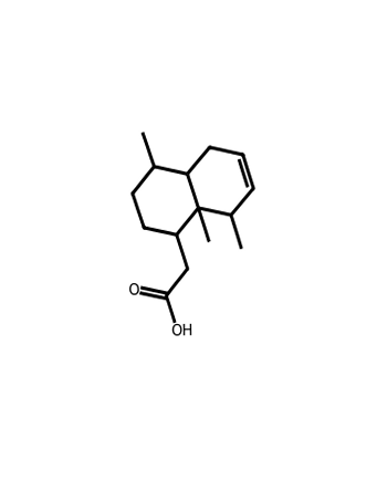 CC1CCC(CC(=O)O)C2(C)C(C)C=CCC12